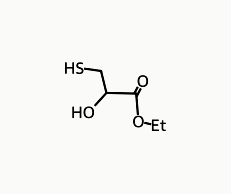 CCOC(=O)C(O)CS